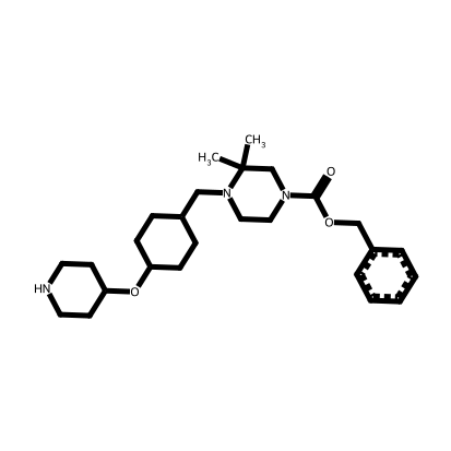 CC1(C)CN(C(=O)OCc2ccccc2)CCN1CC1CCC(OC2CCNCC2)CC1